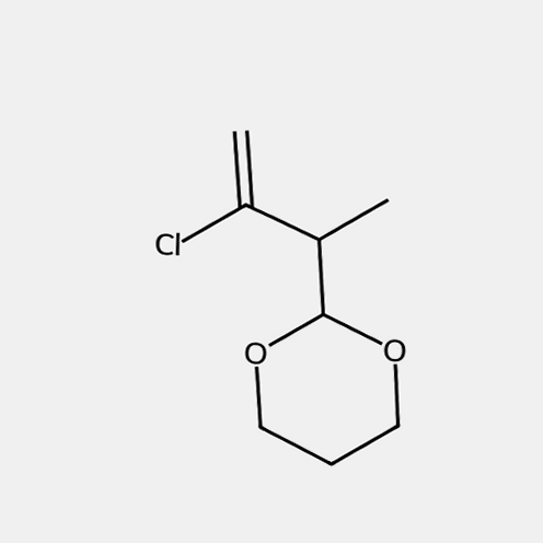 C=C(Cl)C(C)C1OCCCO1